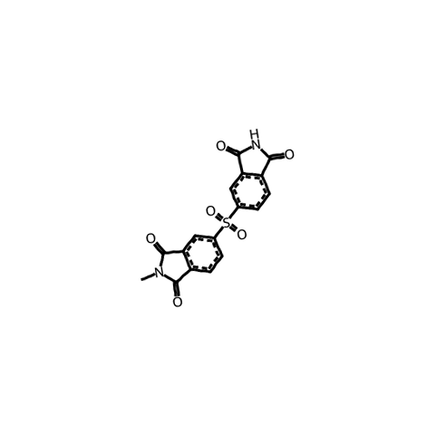 CN1C(=O)c2ccc(S(=O)(=O)c3ccc4c(c3)C(=O)NC4=O)cc2C1=O